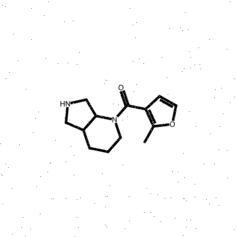 Cc1occc1C(=O)N1CCCC2CNCC21